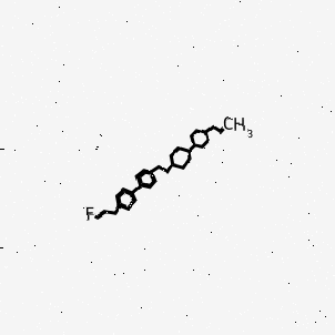 CCCC1CCC(C2CCC(CCc3ccc(-c4ccc(CCCF)cc4)cc3)CC2)CC1